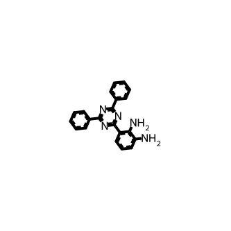 Nc1cccc(-c2nc(-c3ccccc3)nc(-c3ccccc3)n2)c1N